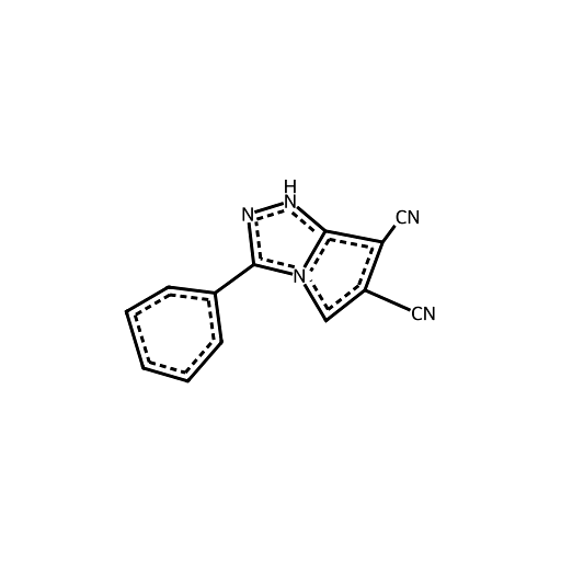 N#Cc1cn2c(-c3ccccc3)n[nH]c2c1C#N